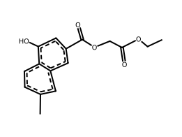 CCOC(=O)COC(=O)c1cc(O)c2ccc(C)cc2c1